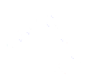 CN(CCON=Cc1ccn2c(-c3cccc(NC(=O)NCC(F)(F)F)c3)cnc2c1)CCS(C)(=O)=O